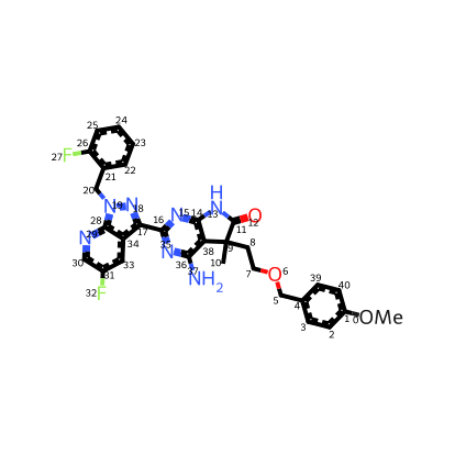 COc1ccc(COCCC2(C)C(=O)Nc3nc(-c4nn(Cc5ccccc5F)c5ncc(F)cc45)nc(N)c32)cc1